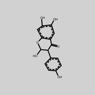 O=C1c2cc(O)c(O)cc2OC(O)C1c1ccc(O)cc1